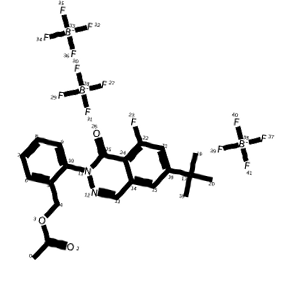 CC(=O)OCc1ccccc1-n1ncc2cc(C(C)(C)C)cc(F)c2c1=O.F[B-](F)(F)F.F[B-](F)(F)F.F[B-](F)(F)F